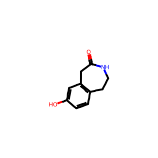 O=C1Cc2cc(O)ccc2CCN1